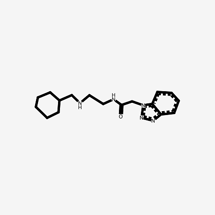 O=C(Cn1nnc2ccccc21)NCCNCC1CCCCC1